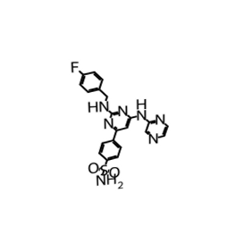 NS(=O)(=O)c1ccc(-c2cc(Nc3cnccn3)nc(NCc3ccc(F)cc3)n2)cc1